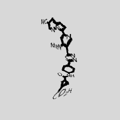 CNc1cc(-c2ccc3cc(C#N)cnn23)ncc1-c1nnc(C2CCC(NC(=O)C34CC(C(=O)O)(C3)C4)CC2)s1